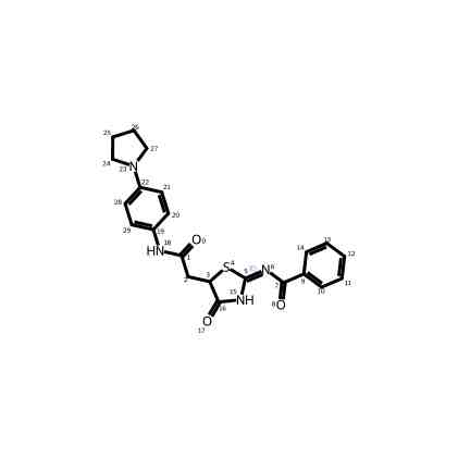 O=C(CC1S/C(=N/C(=O)c2ccccc2)NC1=O)Nc1ccc(N2CCCC2)cc1